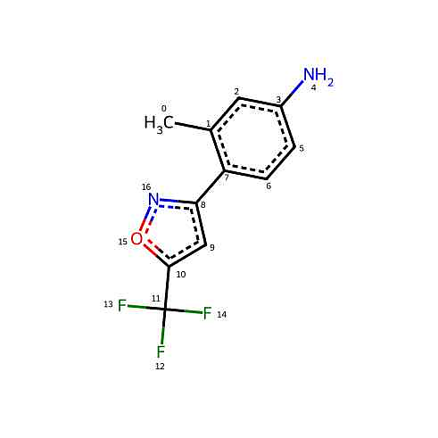 Cc1cc(N)ccc1-c1cc(C(F)(F)F)on1